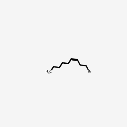 CCCCC/C=C\CCBr